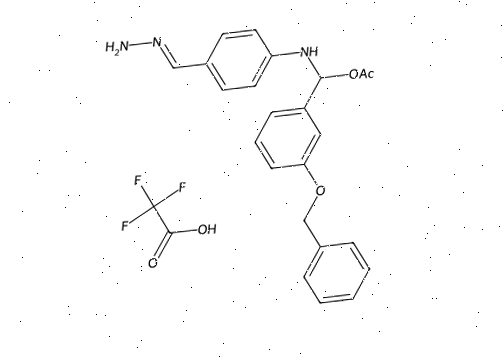 CC(=O)OC(Nc1ccc(C=NN)cc1)c1cccc(OCc2ccccc2)c1.O=C(O)C(F)(F)F